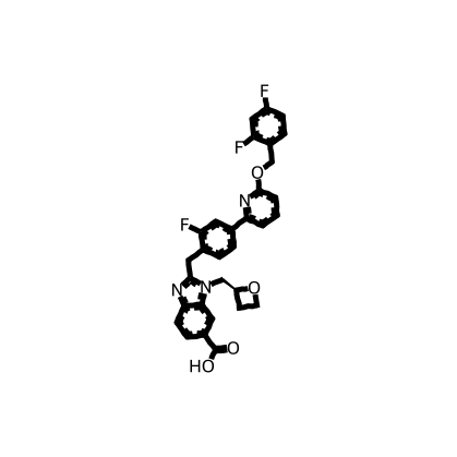 O=C(O)c1ccc2nc(Cc3ccc(-c4cccc(OCc5ccc(F)cc5F)n4)cc3F)n(C[C@@H]3CCO3)c2c1